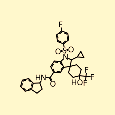 O=C(NC1CCc2ccccc21)c1ccc2c(c1)C1(CCC(O)(C(F)(F)F)CC1)C(C1CC1)N2S(=O)(=O)c1ccc(F)cc1